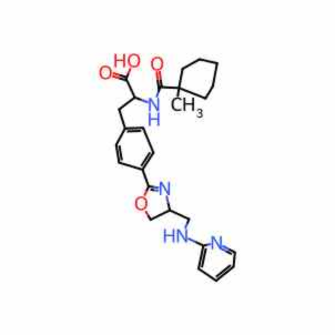 CC1(C(=O)NC(Cc2ccc(C3=NC(CNc4ccccn4)CO3)cc2)C(=O)O)CCCCC1